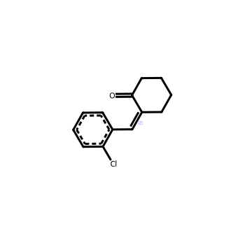 O=C1CCCC/C1=C/c1ccccc1Cl